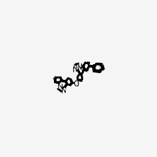 c1ccc(-c2ccc3c(c2)c2ccc(Oc4ccc5c6ccccc6n6ccnc6c5c4)cc2c2nccn32)cc1